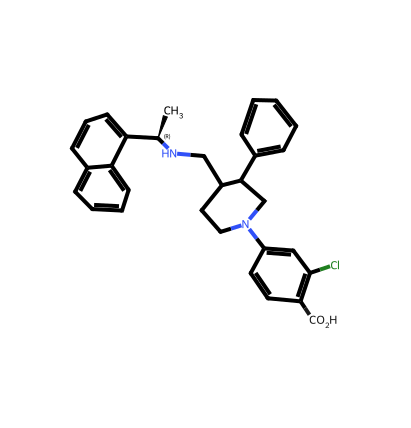 C[C@@H](NCC1CCN(c2ccc(C(=O)O)c(Cl)c2)CC1c1ccccc1)c1cccc2ccccc12